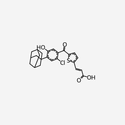 O=C(O)/C=C/c1ccc(C(=O)c2cc(O)c(C34CC5CC(CC(C5)C3)C4)cc2Cl)s1